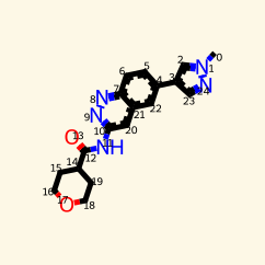 Cn1cc(-c2ccc3nnc(NC(=O)C4CCOCC4)cc3c2)cn1